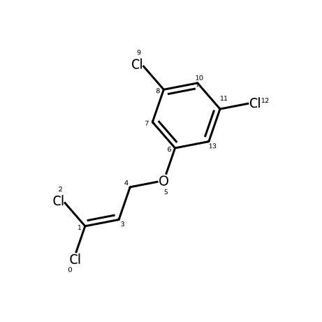 ClC(Cl)=CCOc1cc(Cl)[c]c(Cl)c1